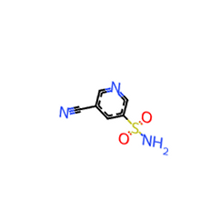 N#Cc1cncc(S(N)(=O)=O)c1